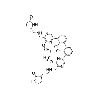 COc1nc(-c2cccc(-c3cccc(-c4cnc(CNC[C@@H]5CCC(=O)N5)c(OC)n4)c3Cl)c2Cl)cnc1CNCCN1CCNC1=O